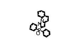 O=P(c1ccccc1)(c1ccccc1)c1cc2ccc3ccccc3n2n1